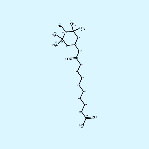 CC1(C)CC(OC(=O)CCCCCCCCC(=O)O)CC(C)(C)N1O